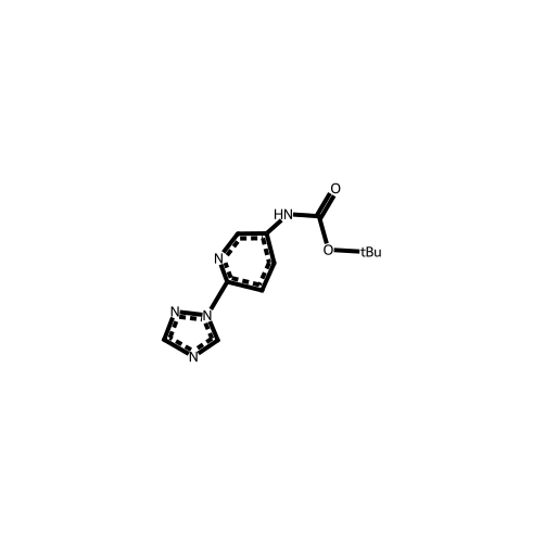 CC(C)(C)OC(=O)Nc1ccc(-n2cncn2)nc1